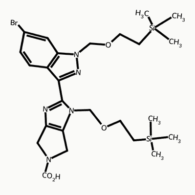 C[Si](C)(C)CCOCn1c(-c2nn(COCC[Si](C)(C)C)c3cc(Br)ccc23)nc2c1CN(C(=O)O)C2